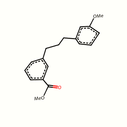 COC(=O)c1cccc(CCCc2cccc(OC)c2)c1